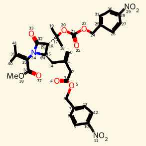 C=C(CC(=O)OCc1ccc([N+](=O)[O-])cc1)C[C@@H]1[C@@H](C(C)(C)OC(=O)OCc2ccc([N+](=O)[O-])cc2)C(=O)N1C(C(=O)OC)=C(C)C